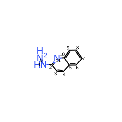 NNc1ccc2ccccc2n1